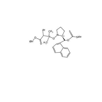 CSC(=S)OC(c1cccc2ccccc12)[C@@H]1CCCN1O[Si](C)(C)C(C(=O)OC(C)(C)C)C(C)C